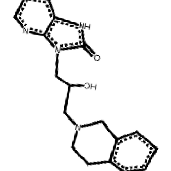 O=c1[nH]c2cccnc2n1CC(O)CN1CCc2ccccc2C1